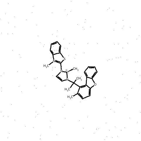 Cc1ccc2oc3ccccc3c2c1C(C)(C)N1C=CN(c2sc3ccccc3[n+]2C)[C@H]1C